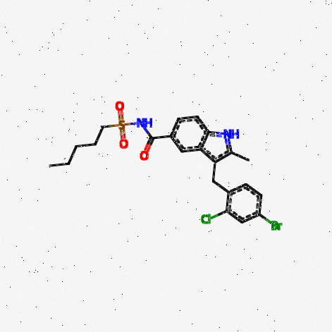 CCCCCS(=O)(=O)NC(=O)c1ccc2[nH]c(C)c(Cc3ccc(Br)cc3Cl)c2c1